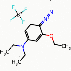 CCOC1=CC(N(CC)CC)=CCC1=[N+]=[N-].F[B-](F)(F)F